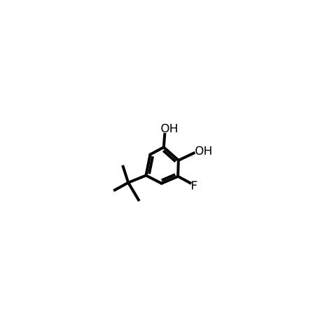 CC(C)(C)c1cc(O)c(O)c(F)c1